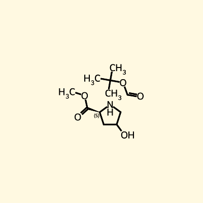 CC(C)(C)OC=O.COC(=O)[C@@H]1CC(O)CN1